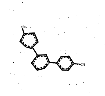 CC(C)(C)c1ccc(-c2cccc(-c3ccc(C#N)cc3)c2)cc1